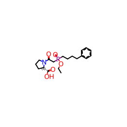 CCOP(=O)(CCCCc1ccccc1)CC(=O)N1CCC[C@H]1C(=O)O